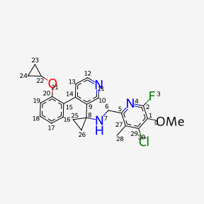 COc1c(F)nc(CNC2(c3cnccc3-c3ccccc3OC3CC3)CC2)c(C)c1Cl